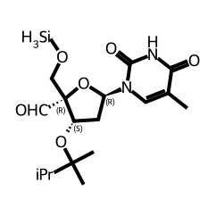 Cc1cn([C@H]2C[C@H](OC(C)(C)C(C)C)[C@@](C=O)(CO[SiH3])O2)c(=O)[nH]c1=O